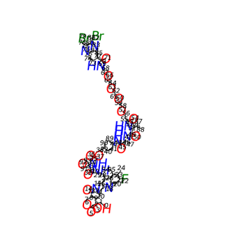 CC[C@]1(O)C(=O)OCc2c1cc1n(c2=O)Cc2c-1nc1cc(F)c(C)c3c1c2[C@H](CNC(=O)C1(NC(=O)OCc2ccc(NC(=O)[C@H](C)NC(=O)[C@@H](NC(=O)CCOCCOCCOCCOCCNC(=O)c4ccc5nc(CBr)c(CBr)nc5c4)C(C)C)cc2)COC1)CC3